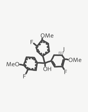 COC1=C(F)C=C(C(O)(c2ccc(OC)c(F)c2)c2ccc(OC)c(F)c2)C[C@@H]1I